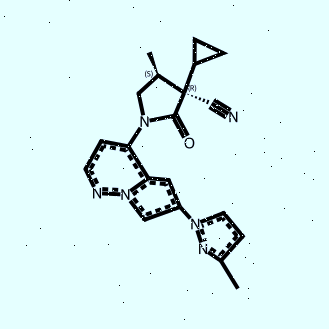 Cc1ccn(-c2cc3c(N4C[C@@H](C)[C@@](C#N)(C5CC5)C4=O)ccnn3c2)n1